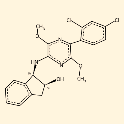 COc1nc(-c2ccc(Cl)cc2Cl)c(OC)nc1N[C@@H]1c2ccccc2C[C@@H]1O